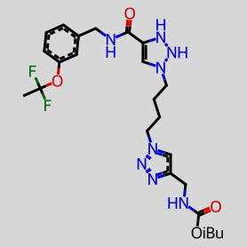 CC(C)COC(=O)NCc1cn(CCCCN2C=C(C(=O)NCc3cccc(OC(C)(F)F)c3)NN2)nn1